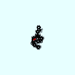 CC1(C)c2ccccc2-c2ccc(-c3nc(-c4ccccc4)nc(-c4cccc5oc6ccc(-c7cccc8oc9ccc(-c%10ccccc%10)cc9c78)cc6c45)n3)cc21